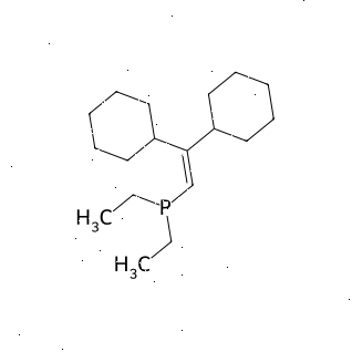 CCP(C=C(C1CCCCC1)C1CCCCC1)CC